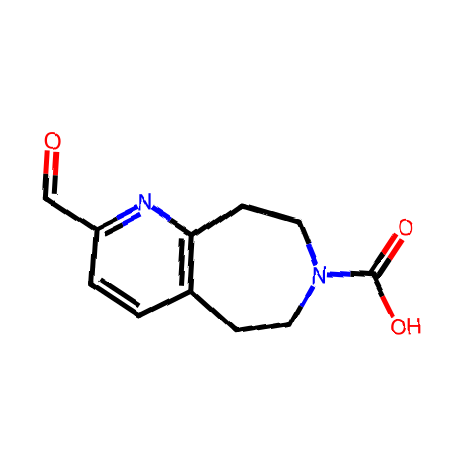 O=Cc1ccc2c(n1)CCN(C(=O)O)CC2